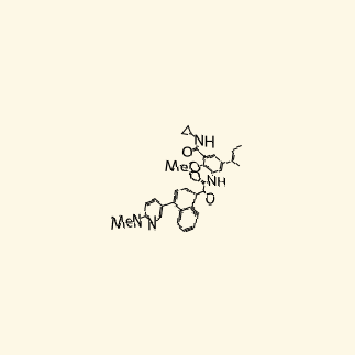 C/C=C(\C)c1cc(NC(=O)C(=O)c2ccc(-c3ccc(NC)nc3)c3ccccc23)c(OC)c(C(=O)NC2CC2)c1